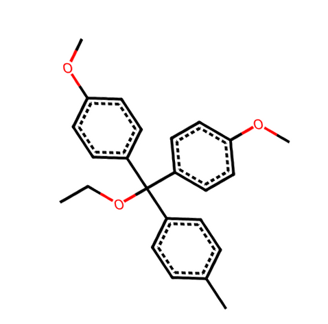 CCOC(c1ccc(C)cc1)(c1ccc(OC)cc1)c1ccc(OC)cc1